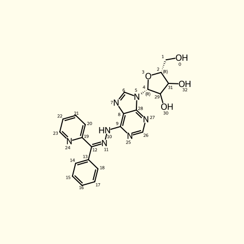 OC[C@H]1O[C@@H](n2cnc3c(NN=C(c4ccccc4)c4ccccn4)ncnc32)C(O)C1O